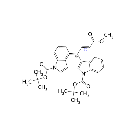 COC(=O)/C=C/[C@H](c1cccc2c1ccn2C(=O)OC(C)(C)C)c1cn(C(=O)OC(C)(C)C)c2ccccc12